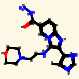 Cc1nc[nH]c1-c1nc2ccc(C(=O)NN)cn2c1NCCN1CCOCC1